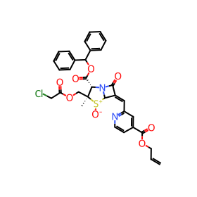 C=CCOC(=O)c1ccnc(/C=C2/C(=O)N3C2[S@@+]([O-])[C@@](C)(COC(=O)CCl)[C@@H]3C(=O)OC(c2ccccc2)c2ccccc2)c1